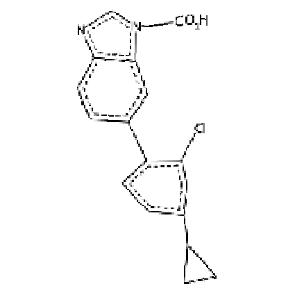 O=C(O)n1cnc2ccc(-c3ccc(C4CC4)cc3Cl)cc21